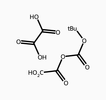 CC(C)(C)OC(=O)OC(=O)C(=O)O.O=C(O)C(=O)O